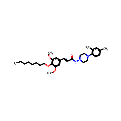 CCCCCCCCOc1c(OC)cc(/C=C/C(=O)NN2CCN(c3ccc(C)cc3C)CC2)cc1OC